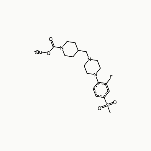 CC(C)(C)OC(=O)N1CCC(CN2CCN(c3ccc(S(C)(=O)=O)cc3F)CC2)CC1